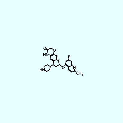 Cc1ccc2c(OCCC(c3cc4c(cc3F)OCC(=O)N4)C3CCNCC3)cc(F)cc2n1